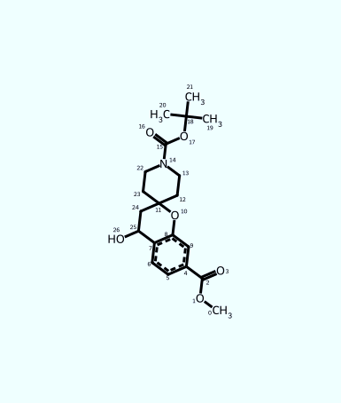 COC(=O)c1ccc2c(c1)OC1(CCN(C(=O)OC(C)(C)C)CC1)CC2O